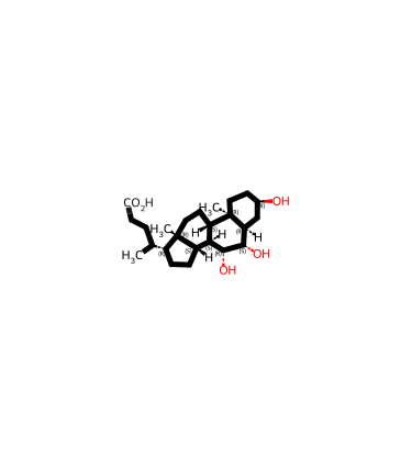 CC(CCC(=O)O)[C@H]1CC[C@H]2[C@@H]3[C@@H](O)[C@@H](O)[C@@H]4C[C@H](O)CC[C@]4(C)[C@H]3CC[C@]12C